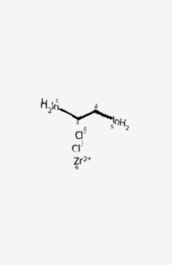 [Cl-].[Cl-].[InH2][CH2][CH2][InH2].[Zr+2]